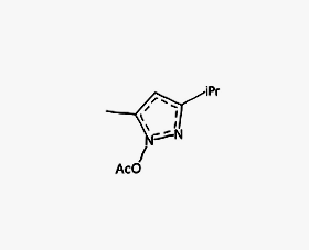 CC(=O)On1nc(C(C)C)cc1C